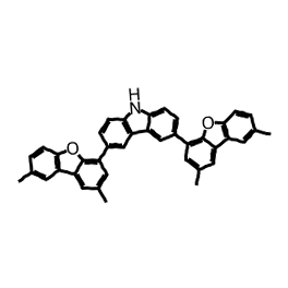 Cc1ccc2oc3c(-c4ccc5[nH]c6ccc(-c7cc(C)cc8c7oc7ccc(C)cc78)cc6c5c4)cc(C)cc3c2c1